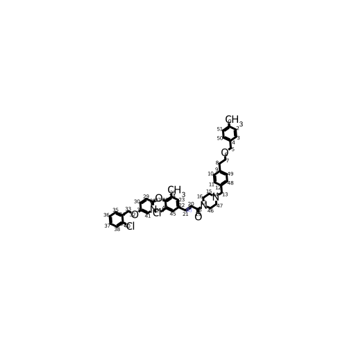 Cc1ccc(COCCc2ccc(CN3CCN(C(=O)/C=C/c4cc(C)c(Oc5ccc(OCc6ccccc6Cl)cn5)c(Cl)c4)CC3)cc2)cc1